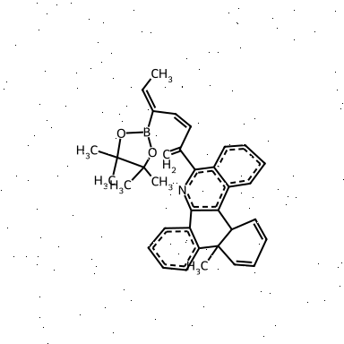 C=C(/C=C\C(=C/C)B1OC(C)(C)C(C)(C)O1)c1nc2c(c3ccccc13)C1C=CC=CC1(C)c1ccccc1-2